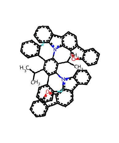 CC(C)c1c(-c2ccccc2F)c(-n2c3ccccc3c3ccc4c5ccccc5oc4c32)c(C(C)C)c(-n2c3ccccc3c3ccc4c5ccccc5oc4c32)c1-c1ccccc1F